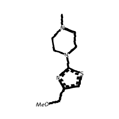 COCc1csc(N2CCN(C)CC2)n1